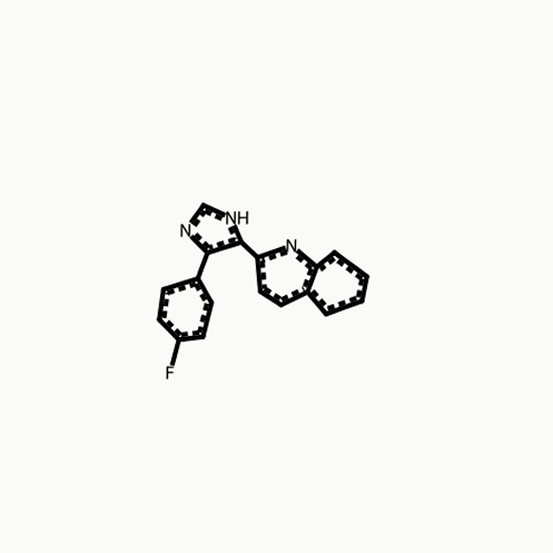 Fc1ccc(-c2nc[nH]c2-c2ccc3ccccc3n2)cc1